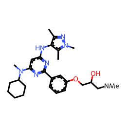 CNCC(O)COc1cccc(-c2nc(Nc3c(C)nn(C)c3C)cc(N(C)C3CCCCC3)n2)c1